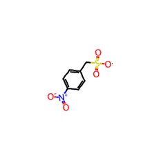 [O]S(=O)(=O)Cc1ccc([N+](=O)[O-])cc1